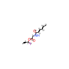 C#CC(I)OC(=O)CNC(=O)C=CC=CC